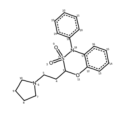 O=S1(=O)C(CCN2CCCC2)Oc2ccccc2N1c1ccccc1